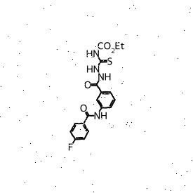 CCOC(=O)NC(=S)NNC(=O)c1cccc(NC(=O)c2ccc(F)cc2)c1